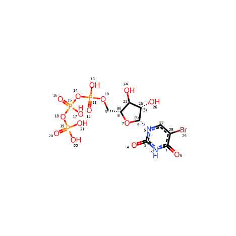 O=c1[nH]c(=O)n([C@@H]2O[C@H](COP(=O)(O)OP(=O)(O)OP(=O)(O)O)C(O)[C@@H]2O)cc1Br